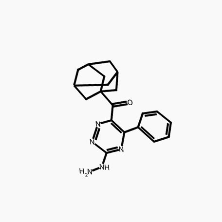 NNc1nnc(C(=O)C23CC4CC(CC(C4)C2)C3)c(-c2ccccc2)n1